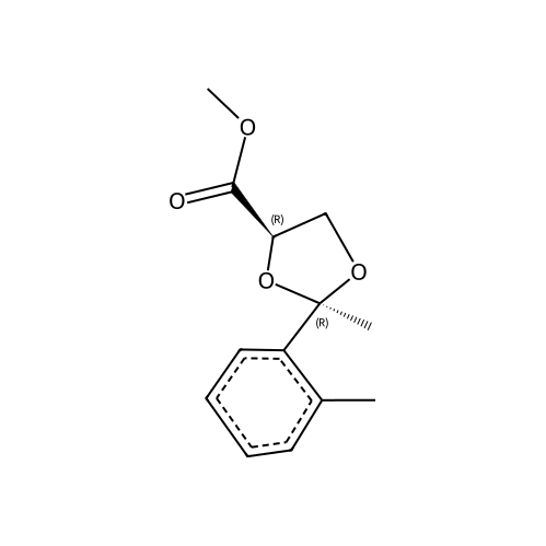 COC(=O)[C@H]1CO[C@@](C)(c2ccccc2C)O1